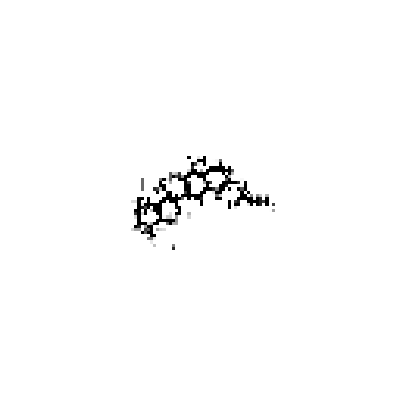 Cc1c(-c2cc3cc(OC(N)=O)ncc3c(N)c2F)cnc2c1NCCC2C